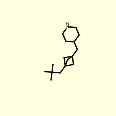 CC(C)(C)CC12CC(CC3CCNCC3)(C1)C2